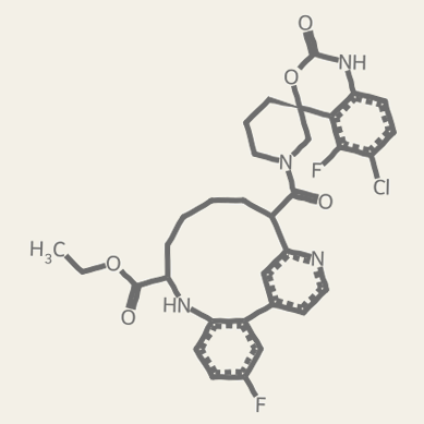 CCOC(=O)C1CCCCC(C(=O)N2CCC[C@@]3(C2)OC(=O)Nc2ccc(Cl)c(F)c23)c2cc(ccn2)-c2cc(F)ccc2N1